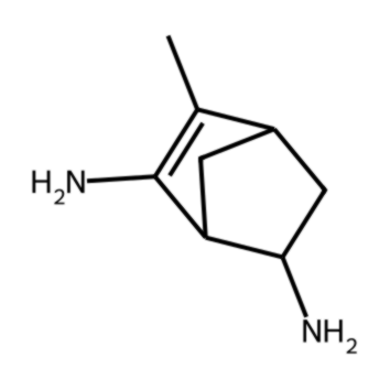 CC1=C(N)C2CC1CC2N